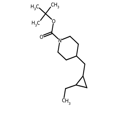 CCC1CC1CC1CCN(C(=O)OC(C)(C)C)CC1